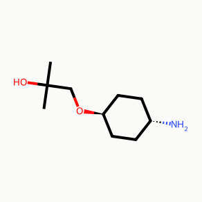 CC(C)(O)CO[C@H]1CC[C@H](N)CC1